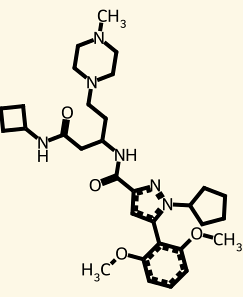 COc1cccc(OC)c1-c1cc(C(=O)NC(CCN2CCN(C)CC2)CC(=O)NC2CCC2)nn1C1CCCC1